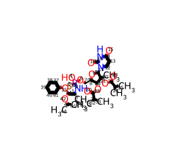 CC(N[P@@](O)(=S)OC[C@H]1O[C@@H](n2ccc(=O)[nH]c2=O)[C@](C)(OC(=O)C(C)C)[C@@H]1OC(=O)C(C)C)=C(Oc1ccccc1)OC(C)C